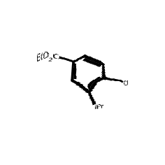 CCOC(=O)c1ccc(Cl)c(C(C)C)c1